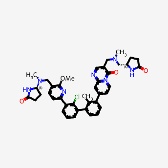 COc1nc(-c2cccc(-c3cccc(-c4ccn5c(=O)c(CN(C)C[C@@H]6CCC(=O)N6)cnc5c4)c3C)c2Cl)ccc1CN(C)[C@H]1CCC(=O)N1